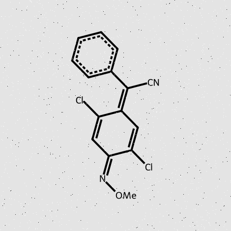 CO/N=C1C=C(Cl)/C(=C(/C#N)c2ccccc2)C=C/1Cl